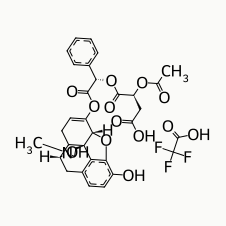 CC(=O)O[C@@H](CC(=O)O)C(=O)O[C@H](C(=O)OC1=CC[C@@]2(O)[C@H]3Cc4ccc(O)c5c4[C@@]2(CCN3C)[C@H]1O5)c1ccccc1.O=C(O)C(F)(F)F